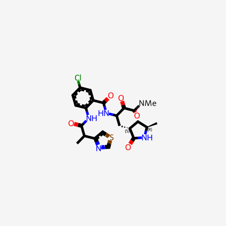 CNC(=O)C(=O)C(C[C@@H]1C[C@@H](C)NC1=O)NC(=O)c1cc(Cl)ccc1NC(=O)C(C)c1cscn1